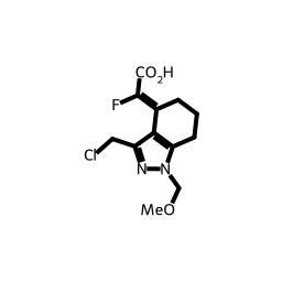 COCn1nc(CCl)c2c1CCCC2=C(F)C(=O)O